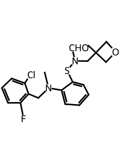 CN(Cc1c(F)cccc1Cl)c1ccccc1SN(C=O)CC1(C)COC1